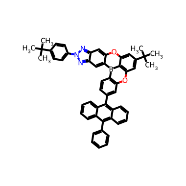 CC(C)(C)c1ccc(-n2nc3cc4c(cc3n2)B2c3ccc(-c5c6ccccc6c(-c6ccccc6)c6ccccc56)cc3Oc3cc(C(C)(C)C)cc(c32)O4)cc1